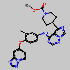 Cc1cc(Nc2ncnn3cnc(C4CCN(C(=O)OC(C)(C)C)CC4)c23)ccc1Oc1ccn2ncnc2c1